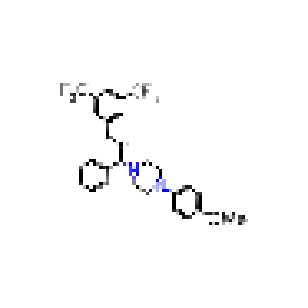 COc1ccc(N2CCN(C([CH]Cc3cc(C(F)(F)F)cc(C(F)(F)F)c3)c3ccccc3)CC2)cc1